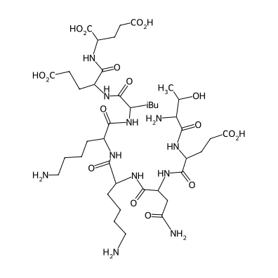 CCC(C)C(NC(=O)C(CCCCN)NC(=O)C(CCCCN)NC(=O)C(CC(N)=O)NC(=O)C(CCC(=O)O)NC(=O)C(N)C(C)O)C(=O)NC(CCC(=O)O)C(=O)NC(CCC(=O)O)C(=O)O